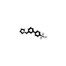 O=S(=O)(O)c1ccc(-c2cccc(CN3CCCC3)c2)cc1